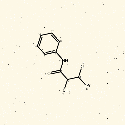 CC(C)C(Cl)C(C)C(=O)Nc1ccccc1